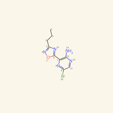 CCCc1noc(-c2nc(Br)cnc2N)n1